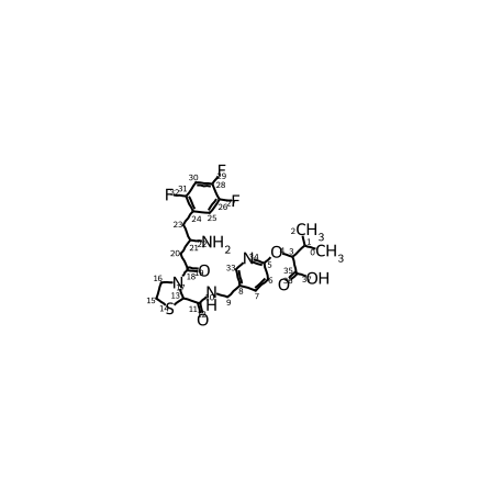 CC(C)C(Oc1ccc(CNC(=O)C2SCCN2C(=O)CC(N)Cc2cc(F)c(F)cc2F)cn1)C(=O)O